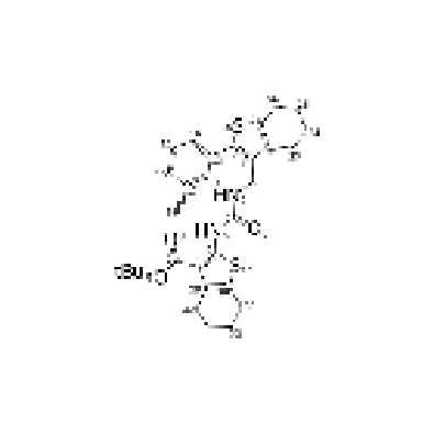 CC(C)(C)OC(=O)c1c(NC(=O)NCc2c(-c3cccc(F)c3)sc3c2CCCC3)sc2c1CCCC2